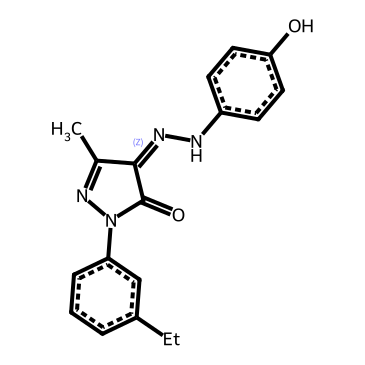 CCc1cccc(N2N=C(C)/C(=N/Nc3ccc(O)cc3)C2=O)c1